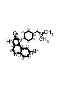 CN(C)C[C@H]1CC[C@H](n2c(=O)[nH]c3cnc4ccc(Br)cc4c32)CC1